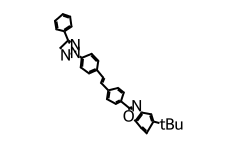 CC(C)(C)c1ccc2oc(-c3ccc(C=Cc4ccc(-n5ncc(-c6ccccc6)n5)cc4)cc3)nc2c1